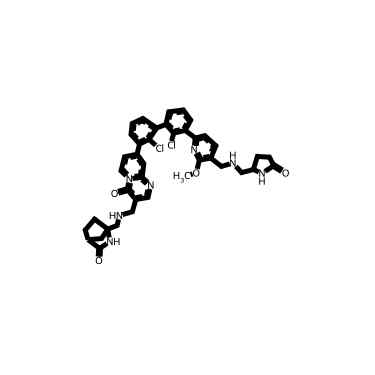 COc1nc(-c2cccc(-c3cccc(-c4ccn5c(=O)c(CNCC67CCC(C6)C(=O)N7)cnc5c4)c3Cl)c2Cl)ccc1CNCC1CCC(=O)N1